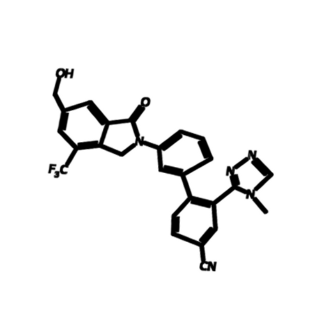 Cn1cnnc1-c1cc(C#N)ccc1-c1cccc(N2Cc3c(cc(CO)cc3C(F)(F)F)C2=O)c1